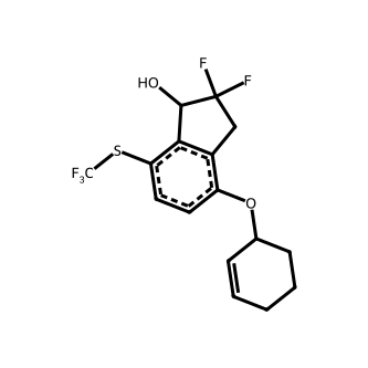 OC1c2c(SC(F)(F)F)ccc(OC3C=CCCC3)c2CC1(F)F